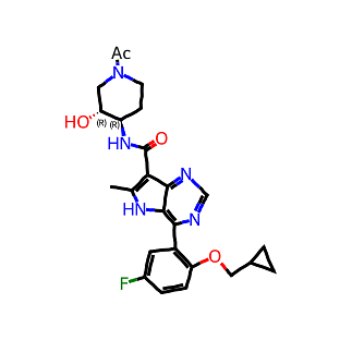 CC(=O)N1CC[C@@H](NC(=O)c2c(C)[nH]c3c(-c4cc(F)ccc4OCC4CC4)ncnc23)[C@H](O)C1